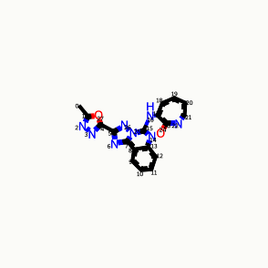 Cc1nnc(-c2nc3c4ccccc4nc(Nc4ccccnc4=O)n3n2)o1